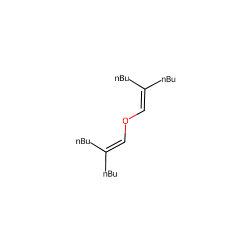 CCCCC(=COC=C(CCCC)CCCC)CCCC